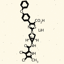 Cc1[nH]c(C(=O)NC2[C@H]3CN(c4nc(-c5ccc(Oc6ccccc6)cc5)c(C(=O)O)s4)C[C@@H]23)c(Cl)c1Cl.[LiH]